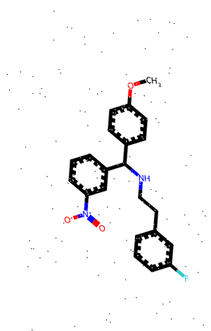 COc1ccc(C(NCCc2cccc(F)c2)c2cccc([N+](=O)[O-])c2)cc1